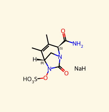 CC1=C(C)[C@@H]2CN(C(=O)N2OS(=O)(=O)O)[C@@H]1C(N)=O.[NaH]